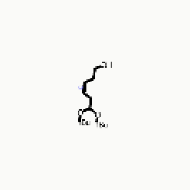 CCCCOC(C/C=C\CCO)OCCCC